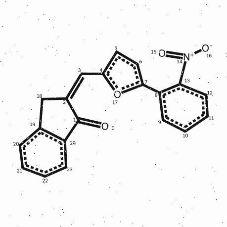 O=C1C(=Cc2ccc(-c3ccccc3[N+](=O)[O-])o2)Cc2ccccc21